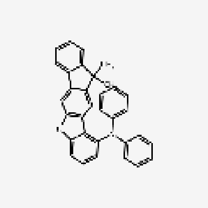 CC1(C)c2ccccc2-c2cc3oc4cccc(N(c5ccccc5)c5ccccc5)c4c3cc21